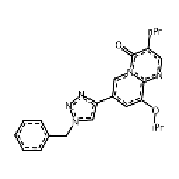 CCCc1cnc2c(OC(C)C)cc(-c3cn(Cc4ccccc4)nn3)cn2c1=O